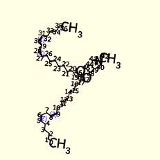 CCCCC/C=C\C/C=C\CCCCCCCCC1(CCCCCCCC/C=C\C/C=C\CCCCC)OC2C3CN(C)CC3C2O1